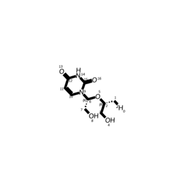 [2H]C[C@H](CO)O[C@H](CO)n1ccc(=O)[nH]c1=O